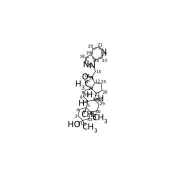 C[C@@]1(O)CC[C@]2(C)[C@H]3CC[C@]4(C)[C@@H](C(=O)Cn5ncc6ccncc65)CC[C@H]4[C@@H]3CC[C@]2(C)C1